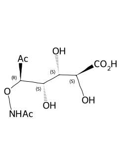 CC(=O)NO[C@@H](C(C)=O)[C@@H](O)[C@H](O)[C@H](O)C(=O)O